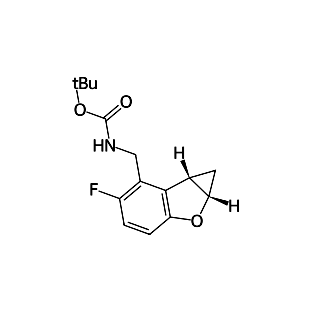 CC(C)(C)OC(=O)NCc1c(F)ccc2c1[C@@H]1C[C@@H]1O2